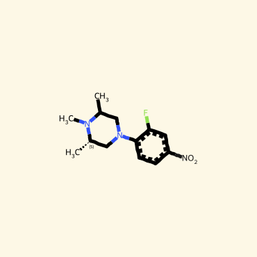 CC1CN(c2ccc([N+](=O)[O-])cc2F)C[C@H](C)N1C